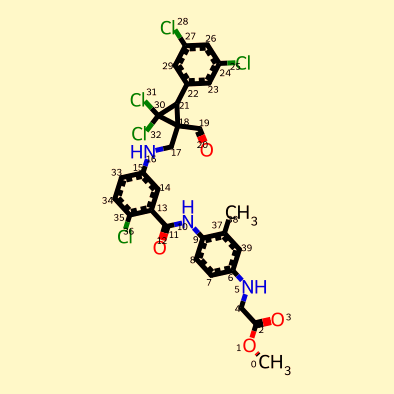 COC(=O)CNc1ccc(NC(=O)c2cc(NCC3(C=O)C(c4cc(Cl)cc(Cl)c4)C3(Cl)Cl)ccc2Cl)c(C)c1